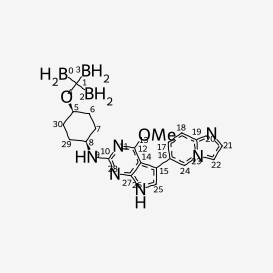 BC(B)(B)O[C@H]1CC[C@@H](Nc2nc(OC)c3c(-c4ccc5nccn5c4)c[nH]c3n2)CC1